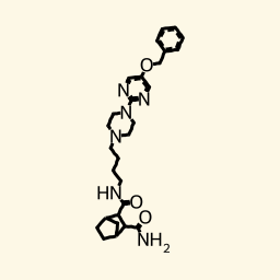 NC(=O)C1C2CCC(C2)C1C(=O)NCCCCN1CCN(c2ncc(OCc3ccccc3)cn2)CC1